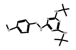 COc1ccc(SNc2nc(NC(C)(C)C)nc(NC(C)(C)C)n2)cc1